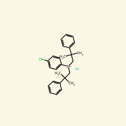 CC(C)([CH2][Sn]([CH2]C(C)(C)c1ccccc1)[c]1ccc(Cl)cc1)c1ccccc1.F